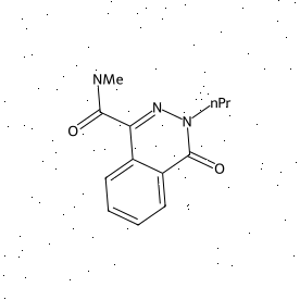 CCCn1nc(C(=O)NC)c2ccccc2c1=O